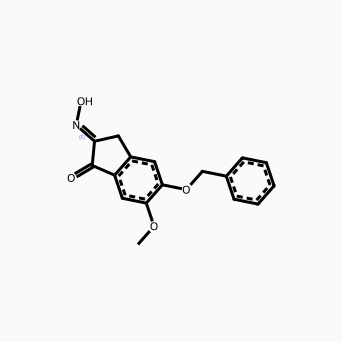 COc1cc2c(cc1OCc1ccccc1)C/C(=N\O)C2=O